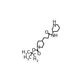 CC(C)(C)OC(=O)N1CCC(CCC(=O)NC2CCCNC2)CC1